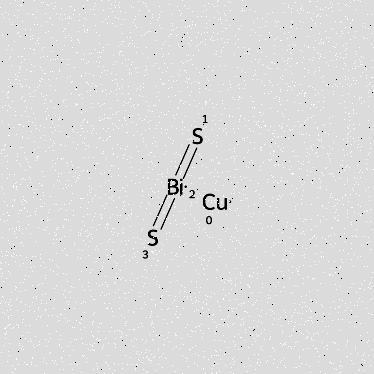 [Cu].[S]=[Bi]=[S]